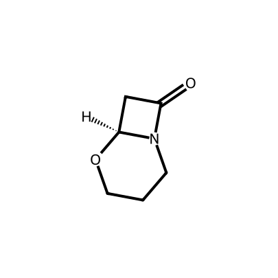 O=C1C[C@@H]2OCCCN12